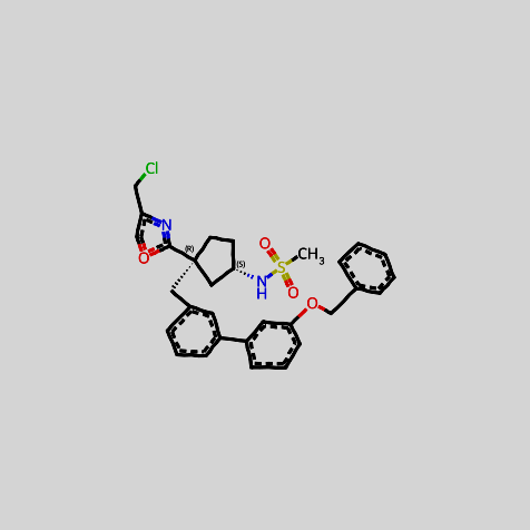 CS(=O)(=O)N[C@H]1CC[C@](Cc2cccc(-c3cccc(OCc4ccccc4)c3)c2)(c2nc(CCl)co2)C1